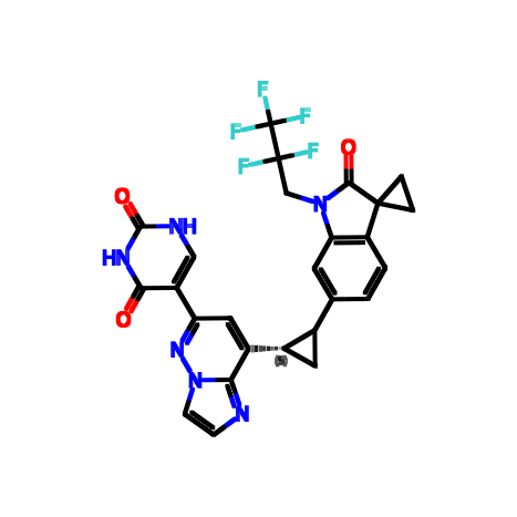 O=C1N(CC(F)(F)C(F)(F)F)c2cc(C3C[C@@H]3c3cc(-c4c[nH]c(=O)[nH]c4=O)nn4ccnc34)ccc2C12CC2